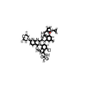 C[C@@H]1CN(c2ccc3c(=O)n(-c4ccc(Cl)c5c(NS(C)(=O)=O)nn(C)c45)c([C@H](Cc4cc(F)cc(F)c4)NC(=O)Cc4ccn(C5CC5)n4)nc3n2)C[C@H](C)O1